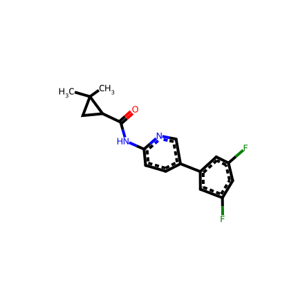 CC1(C)CC1C(=O)Nc1ccc(-c2cc(F)cc(F)c2)cn1